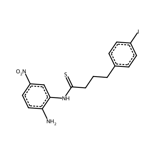 Nc1ccc([N+](=O)[O-])cc1NC(=S)CCCc1ccc(I)cc1